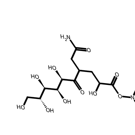 CN(C)OC(=O)C(O)CC(CC(N)=O)C(=O)[C@H](O)[C@@H](O)[C@H](O)[C@H](O)CO